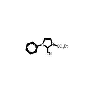 CCOC(=O)N1C=CN(c2ccccc2)C1C#N